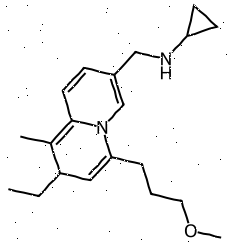 CCC1C=C(CCCOC)N2C=C(CNC3CC3)C=CC2=C1C